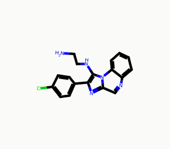 NCCNc1c(-c2ccc(Cl)cc2)nc2cnc3ccccc3n12